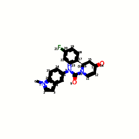 Cn1ccc2cc(NC(=O)N3C=CC(=O)C[C@H]3c3ccc(F)cc3)ccc21